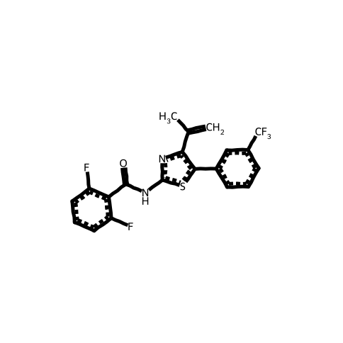 C=C(C)c1nc(NC(=O)c2c(F)cccc2F)sc1-c1cccc(C(F)(F)F)c1